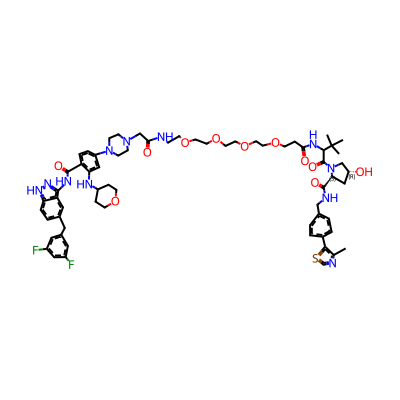 Cc1ncsc1-c1ccc(CNC(=O)[C@@H]2C[C@@H](O)CN2C(=O)C(NC(=O)CCOCCOCCOCCOCCNC(=O)CN2CCN(c3ccc(C(=O)Nc4n[nH]c5ccc(Cc6cc(F)cc(F)c6)cc45)c(NC4CCOCC4)c3)CC2)C(C)(C)C)cc1